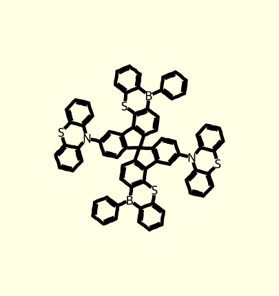 c1ccc(B2c3ccccc3Sc3c2ccc2c3-c3cc(N4c5ccccc5Sc5ccccc54)ccc3C23c2ccc(N4c5ccccc5Sc5ccccc54)cc2-c2c3ccc3c2Sc2ccccc2B3c2ccccc2)cc1